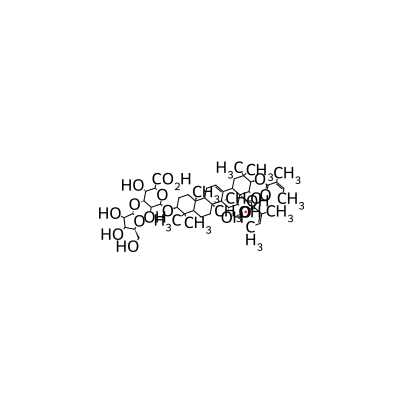 C/C=C(/C)C(=O)O[C@H]1[C@H](OC(=O)/C(C)=C\C)[C@@]2(CO)C(CC1(C)C)C1=CCC3[C@@]4(C)CC[C@H](O[C@@H]5OC(C(=O)O)[C@@H](O)[C@@H](O[C@@H]6O[C@@H](CO)[C@@H](O)C6O)C5O)C(C)(C)C4CC[C@@]3(C)[C@]1(C)[C@@H](O)[C@H]2O